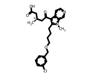 C[C@@H](CC(=O)O)CC(=O)c1c(CCCCOCc2cccc(Cl)c2)n(C)c2cnccc12